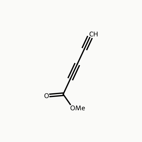 C#CC#CC(=O)OC